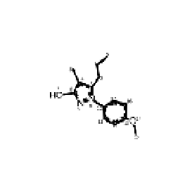 CCCc1c(C)c(O)nn1-c1ccc(OC)cc1